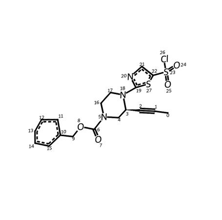 CC#C[C@H]1CN(C(=O)OCc2ccccc2)CCN1c1ncc(S(=O)(=O)Cl)s1